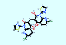 O=c1c(CC2=C(O)c3ccc(Cl)nc3N(c3nccs3)C2O)c(O)c2ccc(Cl)nc2n1-c1nccs1